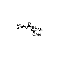 COC(CNC(=O)OCC[Si](C)(C)C)OC